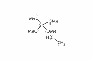 CO[Si](OC)(OC)OC.[CH2]C